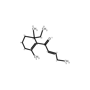 CCC=CC(=O)C1=C(C)CCCC1(C)CC